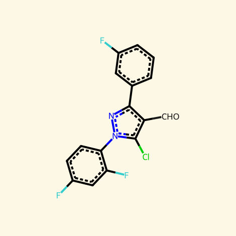 O=Cc1c(-c2cccc(F)c2)nn(-c2ccc(F)cc2F)c1Cl